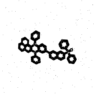 O=P(c1ccccc1)(c1ccccc1)c1ccc2ccc(-c3ccc4c(c3)N(c3ccccc3)c3cc5cccc6c5c(c3N4c3ccccc3)CC=C6)cc2c1